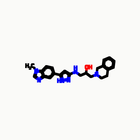 Cn1cnc2cc(-c3cc(NCC(O)CN4CCc5ccccc5C4)n[nH]3)ccc21